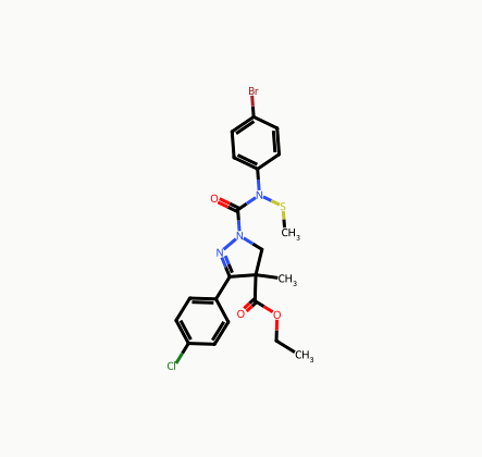 CCOC(=O)C1(C)CN(C(=O)N(SC)c2ccc(Br)cc2)N=C1c1ccc(Cl)cc1